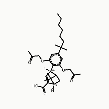 CCCCCCC(C)(C)c1cc(OCC(C)=O)c([C@H]2C=C(C(=O)O)[C@H]3CC2C3(C)C)c(OCC(C)=O)c1